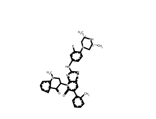 Cc1ccccc1-c1cc2cnc(Nc3ccc(N4C[C@@H](C)N[C@@H](C)C4)c(F)c3)nc2n(C2CN(C)c3ccccc3C2=O)c1=O